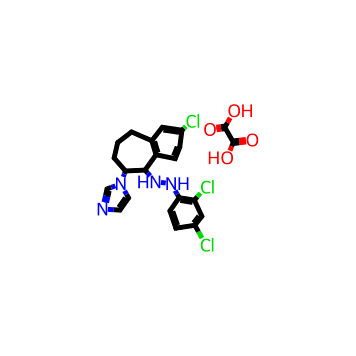 Clc1ccc(NNC2c3ccc(Cl)cc3CCCC2n2ccnc2)c(Cl)c1.O=C(O)C(=O)O